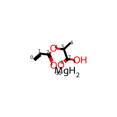 C=CC(=O)OC(C)C(=O)O.[MgH2]